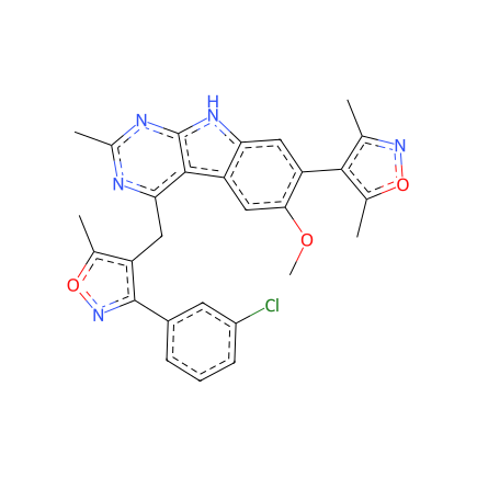 COc1cc2c(cc1-c1c(C)noc1C)[nH]c1nc(C)nc(Cc3c(-c4cccc(Cl)c4)noc3C)c12